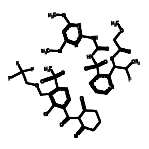 COCC(=O)OC(c1ncccc1S(=O)(=O)NC(=O)Nc1nc(OC)cc(OC)n1)C(C)F.CS(=O)(=O)c1ccc(C(=O)C2C(=O)CCCC2=O)c(Cl)c1COCC(F)(F)F